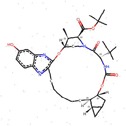 C[C@@H]1[C@@H]2CN(C(=O)[C@H](C(C)(C)C)NC(=O)O[C@@H]3CC4C[C@@H]4[C@H]3CCCCCc3nc4ccc(O)cc4nc3O2)[C@@H]1C(=O)OC(C)(C)C